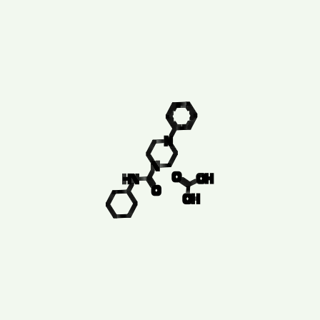 O=C(NC1CCCCC1)N1CCN(c2ccccc2)CC1.O=C(O)O